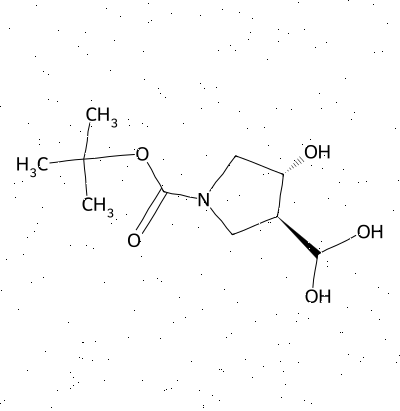 CC(C)(C)OC(=O)N1C[C@H](C(O)O)[C@@H](O)C1